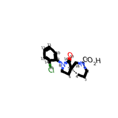 O=C(O)N1CCC[C@@]2(CCN(c3ccccc3Cl)C2=O)C1